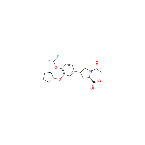 CC(=O)N1CC(c2ccc(OC(F)F)c(OC3CCCC3)c2)C[C@@H]1C(=O)O